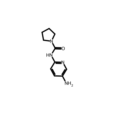 Nc1ccc(NC(=O)N2CCCC2)nc1